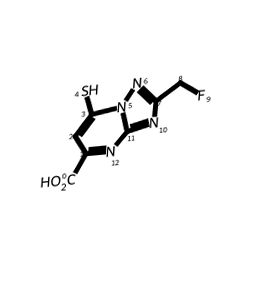 O=C(O)c1cc(S)n2nc(CF)nc2n1